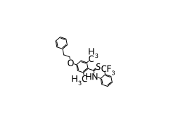 Cc1cc(OCCc2ccccc2)cc(C)c1C(=S)Nc1ccccc1C(F)(F)F